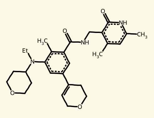 CCN(c1cc(C2=CCOCC2)cc(C(=O)NCc2c(C)cc(C)[nH]c2=O)c1C)C1CCOCC1